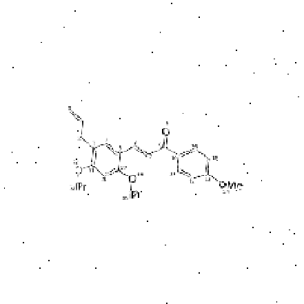 C=CCc1cc(/C=C/C(=O)c2ccc(OC)cc2)c(OC(C)C)cc1OC(C)C